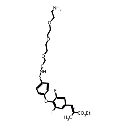 CCOC(=O)/C(C)=C/c1cc(F)c(Oc2ccc(SNCCOCCOCCOCCN)cc2)c(F)c1